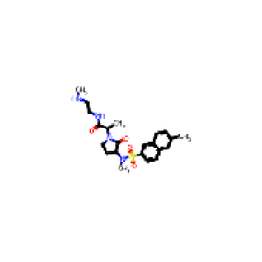 CNCCNC(=O)C(C)N1CCC(N(C)S(=O)(=O)c2ccc3cc(C)ccc3c2)C1=O